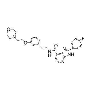 O=C(NCCc1cccc(OCCN2CCOCC2)c1)c1ccnc2[nH]c(-c3ccc(F)cc3)nc12